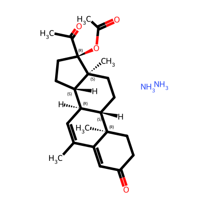 CC(=O)O[C@]1(C(C)=O)CC[C@H]2[C@@H]3C=C(C)C4=CC(=O)CC[C@]4(C)[C@H]3CC[C@@]21C.N.N